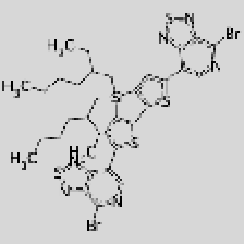 CCCCC(CC)C[Si]1(CC(CC)CCCC)c2cc(-c3cnc(Br)c4nsnc34)sc2-c2sc(-c3cnc(Br)c4nsnc34)cc21